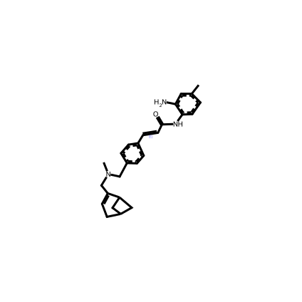 Cc1ccc(NC(=O)/C=C/c2ccc(CN(C)CC3=CCC4CC3C4)cc2)c(N)c1